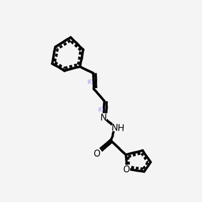 O=C(N/N=C/C=C/c1ccccc1)c1ccco1